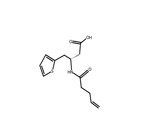 C=CCCC(=O)N[C@@H](CC(=O)O)Cc1cccs1